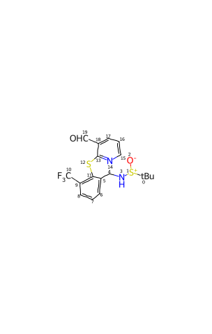 CC(C)(C)[S+]([O-])NCc1cccc(C(F)(F)F)c1Sc1ncccc1C=O